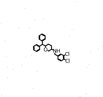 Clc1ccc(CNC2CCC(C(c3ccccc3)c3ccccc3)OC2)cc1Cl